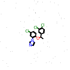 CC(Oc1ccc(Cl)cc1-n1ccnc1)c1ccc(Cl)c(Cl)c1